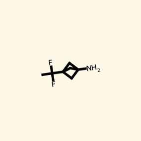 CC(F)(F)C12CC(N)(C1)C2